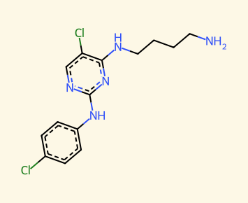 NCCCCNc1nc(Nc2ccc(Cl)cc2)ncc1Cl